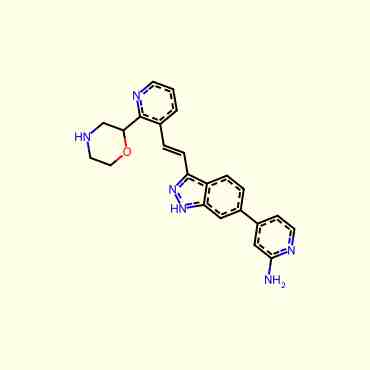 Nc1cc(-c2ccc3c(C=Cc4cccnc4C4CNCCO4)n[nH]c3c2)ccn1